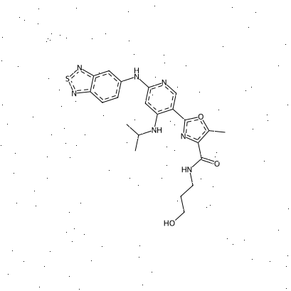 Cc1oc(-c2cnc(Nc3ccc4nsnc4c3)cc2NC(C)C)nc1C(=O)NCCCO